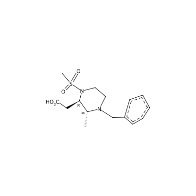 C[C@@H]1[C@@H](CC(=O)O)N(S(C)(=O)=O)CCN1Cc1ccccc1